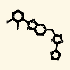 Fc1cccc(-c2nc3ccn(Cc4noc(-c5cccs5)n4)cc-3n2)c1F